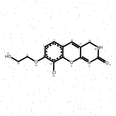 O=C1N=C2Oc3c(ccc(OCCO)c3Cl)C=C2CN1